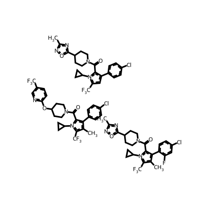 Cc1c(-c2ccc(Cl)cc2)c(C(=O)N2CCC(Oc3ccc(C(F)(F)F)cn3)CC2)n(C2CC2)c1C(F)(F)F.Cc1noc(C2CCN(C(=O)c3c(-c4ccc(Cl)cc4)cc(C(F)(F)F)n3C3CC3)CC2)n1.Cc1noc(C2CCN(C(=O)c3c(-c4ccc(Cl)cc4F)c(C)c(C(F)(F)F)n3C3CC3)CC2)n1